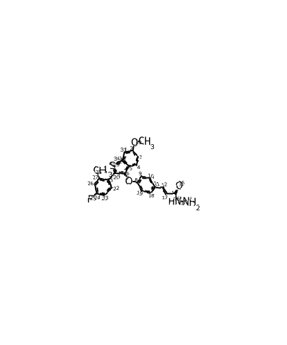 COc1ccc2c(Oc3ccc(/C=C/C(=O)NN)cc3)c(-c3ccc(F)cc3C)sc2c1